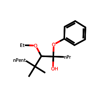 CCCCCC(C)(C)C(OCC)C(O)(CCC)Oc1ccccc1